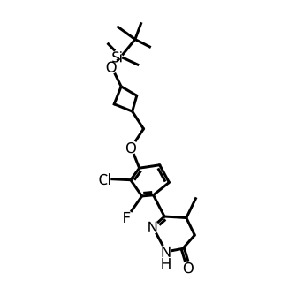 CC1CC(=O)NN=C1c1ccc(OCC2CC(O[Si](C)(C)C(C)(C)C)C2)c(Cl)c1F